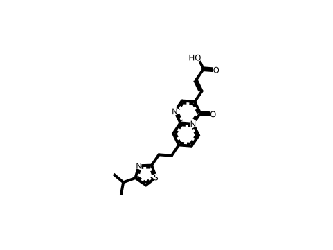 CC(C)c1csc(CCc2ccn3c(=O)c(/C=C/C(=O)O)cnc3c2)n1